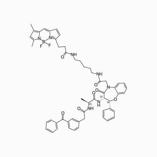 Cc1cc(C)n2c1C=C1C=CC(CCC(=O)NCCCCCNC(=O)CN3C(=O)[C@@H](NC(=O)[C@H](C)NC(=O)Cc4cccc(C(=O)c5ccccc5)c4)[C@@H](c4ccccc4)Oc4ccccc43)=[N+]1[B-]2(F)F